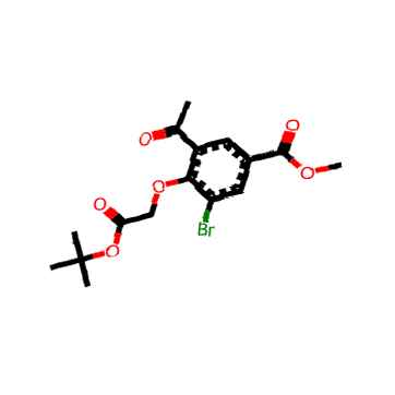 COC(=O)c1cc(Br)c(OCC(=O)OC(C)(C)C)c(C(C)=O)c1